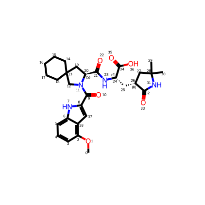 COc1cccc2[nH]c(C(=O)N3CC4(CCCCC4)C[C@H]3C(=O)N[C@@H](C[C@@H]3CC(C)(C)NC3=O)C(=O)O)cc12